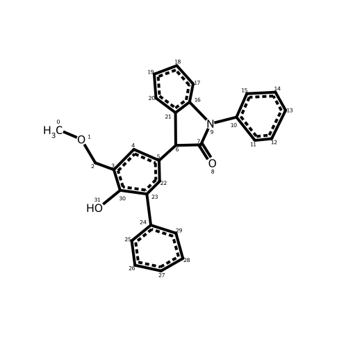 COCc1cc(C2C(=O)N(c3ccccc3)c3ccccc32)cc(-c2ccccc2)c1O